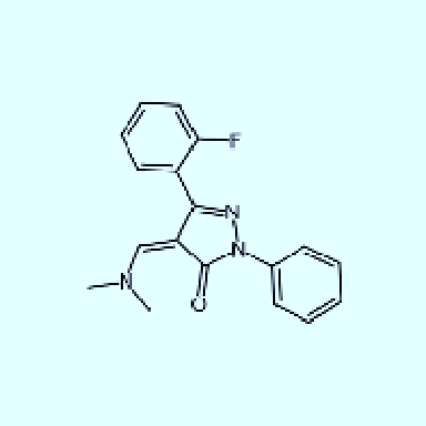 CN(C)C=C1C(=O)N(c2ccccc2)N=C1c1ccccc1F